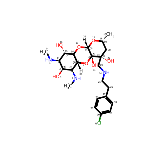 CN[C@@H]1[C@H](O)[C@H](NC)[C@H]2O[C@]3(O)[C@H](OC2[C@H]1O)O[C@H](C)C[C@@]3(O)CNCCc1ccc(Cl)cc1